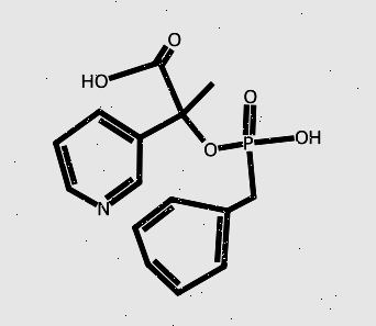 CC(OP(=O)(O)Cc1ccccc1)(C(=O)O)c1cccnc1